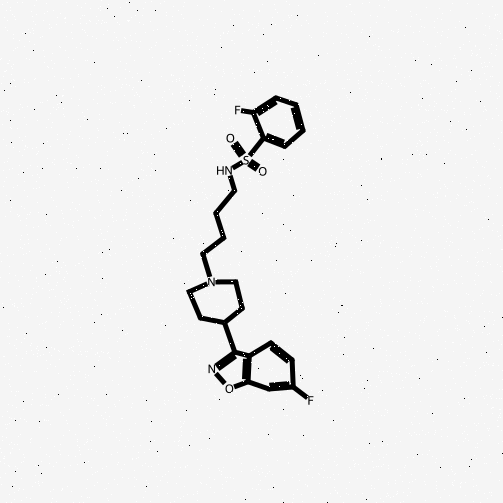 O=S(=O)(NCCCCN1CCC(c2noc3cc(F)ccc23)CC1)c1ccccc1F